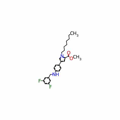 CCCCCCCCn1cc(-c2ccc(NCc3cc(F)cc(F)c3)cc2)cc1C(=O)OC